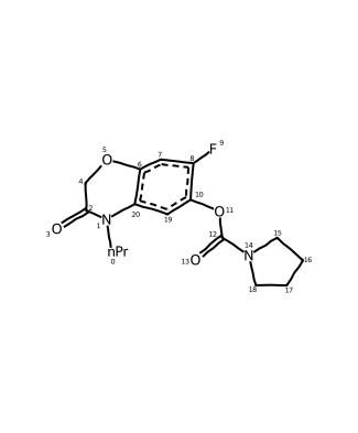 CCCN1C(=O)COc2cc(F)c(OC(=O)N3CCCC3)cc21